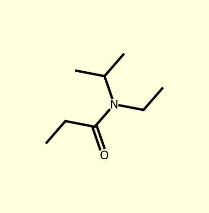 CCC(=O)N(CC)C(C)C